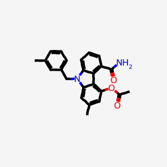 CC(=O)Oc1cc(C)cc2c1c1c(C(N)=O)cccc1n2Cc1cccc(C)c1